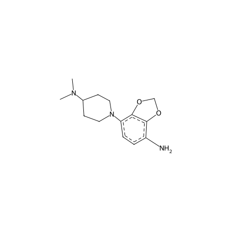 CN(C)C1CCN(c2ccc(N)c3c2OCO3)CC1